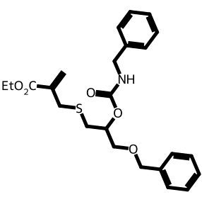 C=C(CSCC(COCc1ccccc1)OC(=O)NCc1ccccc1)C(=O)OCC